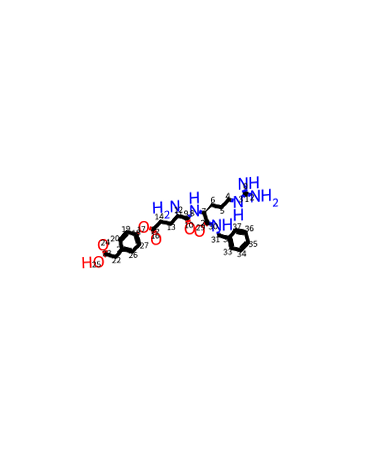 N=C(N)NCCC[C@H](NC(=O)[C@@H](N)CCC(=O)Oc1ccc(CC(=O)O)cc1)C(=O)NCc1ccccc1